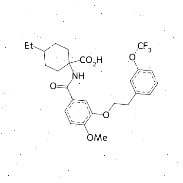 CCC1CCC(NC(=O)c2ccc(OC)c(OCCc3cccc(OC(F)(F)F)c3)c2)(C(=O)O)CC1